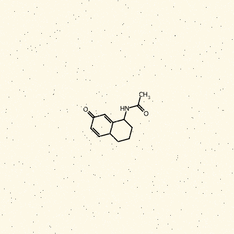 CC(=O)NC1CCCC2C=CC(=O)C=C21